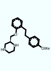 COc1ccc(CCc2ccccc2OC[C@@H]2CNCCN2)cc1